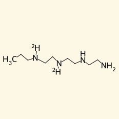 [2H]N(CCC)CCN([2H])CCNCCN